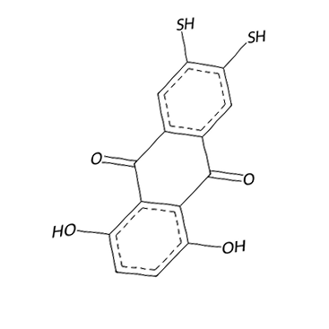 O=C1c2cc(S)c(S)cc2C(=O)c2c(O)ccc(O)c21